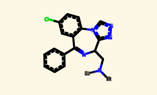 CCN(CC)CC1N=C(c2ccccc2)c2cc(Cl)ccc2-n2cnnc21